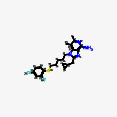 Cc1nc(N)c2nc(CC3CC3)n(CCCCCSc3ccc(F)cc3F)c2c1C